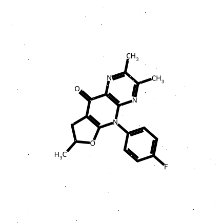 Cc1nc2c(=O)c3c(n(-c4ccc(F)cc4)c2nc1C)OC(C)C3